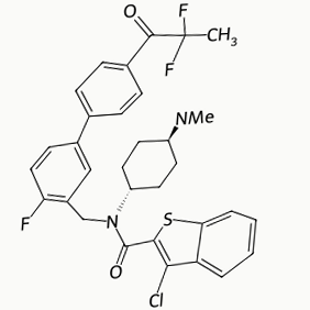 CN[C@H]1CC[C@H](N(Cc2cc(-c3ccc(C(=O)C(C)(F)F)cc3)ccc2F)C(=O)c2sc3ccccc3c2Cl)CC1